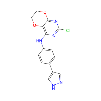 Clc1nc(Nc2ccc(-c3cn[nH]c3)cc2)c2c(n1)OCCO2